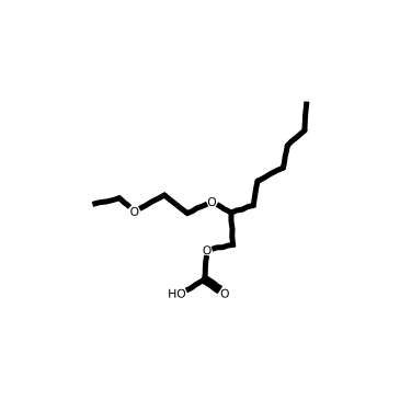 CCCCCCC(COC(=O)O)OCCOCC